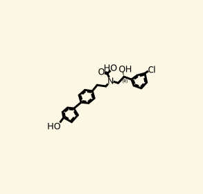 O=C(O)N(CCc1ccc(-c2ccc(O)cc2)cc1)C[C@H](O)c1cccc(Cl)c1